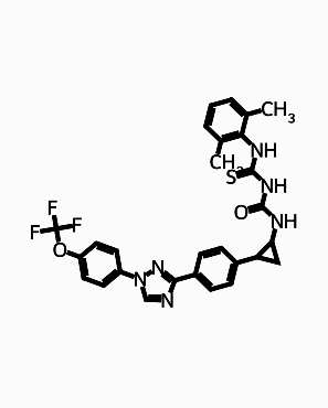 Cc1cccc(C)c1NC(=S)NC(=O)NC1CC1c1ccc(-c2ncn(-c3ccc(OC(F)(F)F)cc3)n2)cc1